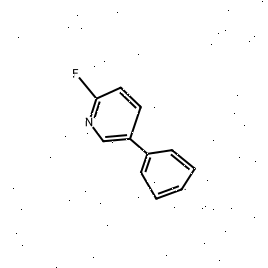 Fc1ccc(-c2cc[c]cc2)cn1